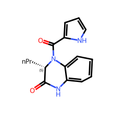 CCC[C@H]1C(=O)Nc2ccccc2N1C(=O)c1ccc[nH]1